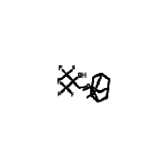 CC12CC3CC(C1)C(C)(OCC(O)(C(F)(F)F)C(F)(F)F)C(C3)C2